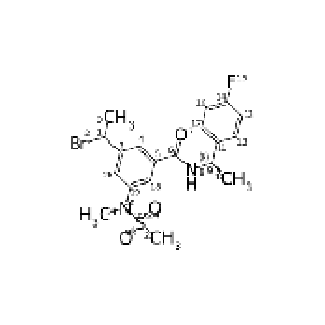 CC(Br)c1cc(C(=O)N[C@H](C)c2ccc(F)cc2)cc(N(C)S(C)(=O)=O)c1